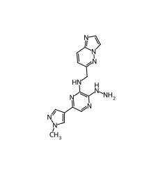 Cn1cc(-c2cnc(NN)c(NCc3ccc4nccn4n3)n2)cn1